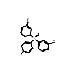 FC1=CC(S(I)(C2=CCC(F)C=C2)c2cccc(F)c2)CC=C1